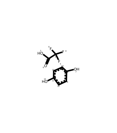 O=C(O)C(F)(F)F.Oc1ccc(O)cc1